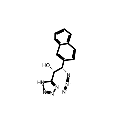 [N-]=[N+]=N[C@@H](c1ccc2ccccc2c1)[C@@H](O)c1nnn[nH]1